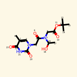 Cc1cn(CC(=O)N(CC(=O)OC(C)(C)C)C(C)O)c(=O)[nH]c1=O